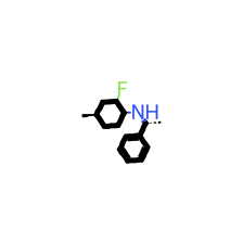 C[C@@H]1CC[C@@H](N[C@H](C)c2ccccc2)[C@@H](F)C1